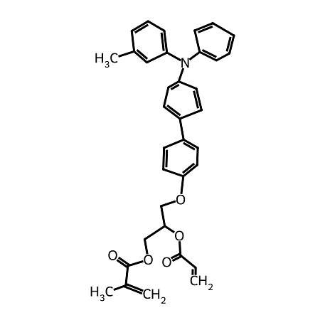 C=CC(=O)OC(COC(=O)C(=C)C)COc1ccc(-c2ccc(N(c3ccccc3)c3cccc(C)c3)cc2)cc1